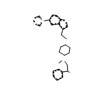 CC(CN(C)[C@H]1CC[C@@H](CCc2c[nH]c3ccc(-n4cnnc4)cc23)CC1)c1ccccc1